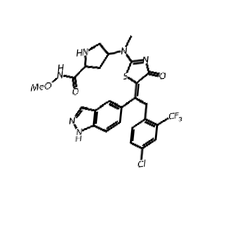 CONC(=O)C1CC(N(C)C2=NC(=O)C(=C(Cc3ccc(Cl)cc3C(F)(F)F)c3ccc4[nH]ncc4c3)S2)CN1